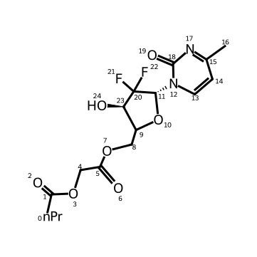 CCCC(=O)OCC(=O)OCC1O[C@@H](n2ccc(C)nc2=O)C(F)(F)[C@@H]1O